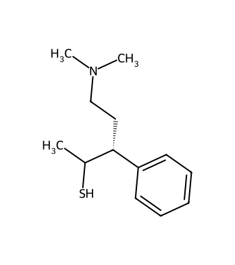 CC(S)[C@H](CCN(C)C)c1ccccc1